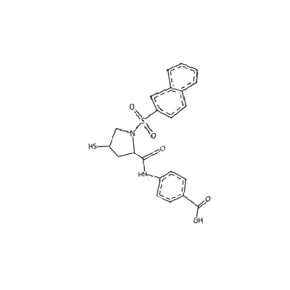 O=C(O)c1ccc(NC(=O)C2CC(S)CN2S(=O)(=O)c2ccc3ccccc3c2)cc1